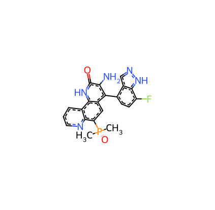 CP(C)(=O)c1cc2c(-c3ccc(F)c4[nH]ncc34)c(N)c(=O)[nH]c2c2cccnc12